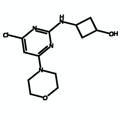 OC1CC(Nc2nc(Cl)cc(N3CCOCC3)n2)C1